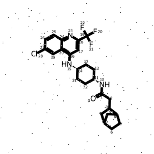 O=C(CC1CC2CCC1C2)N[C@H]1CC[C@@H](Nc2cc(C(F)(F)F)nc3ccc(Cl)cc23)CC1